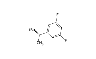 C[C@H](c1cc(F)cc(F)c1)C(C)(C)C